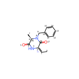 C/C=C1/NC(=O)[C@@H](C)N(Cc2ccccc2)C1=O